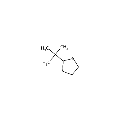 CC(C)(C)C1CCCS1